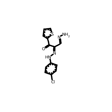 NN=CC(=NNc1ccc(Cl)cc1)C(=O)c1cccs1